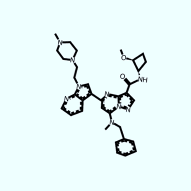 CO[C@H]1CC[C@@H]1NC(=O)c1cnn2c(N(C)Cc3ccccc3)cc(-c3cn(CCN4CCN(C)CC4)c4ncccc34)nc12